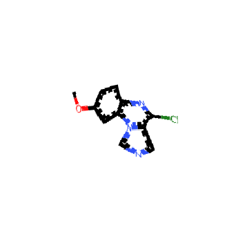 COc1ccc2nc(Cl)c3cncn3c2c1